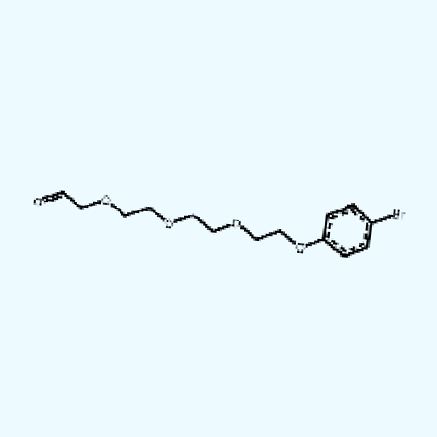 O=CCOCCOCCOCCOc1ccc(Br)cc1